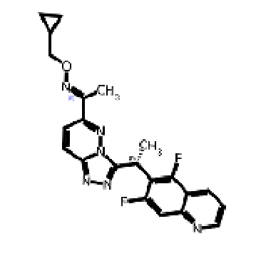 C/C(=N\OCC1CC1)c1ccc2nnc([C@H](C)c3c(F)cc4ncccc4c3F)n2n1